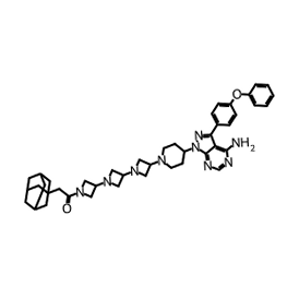 Nc1ncnc2c1c(-c1ccc(Oc3ccccc3)cc1)nn2C1CCN(C2CN(C3CN(C4CN(C(=O)CC56CC7CC(CC(C7)C5)C6)C4)C3)C2)CC1